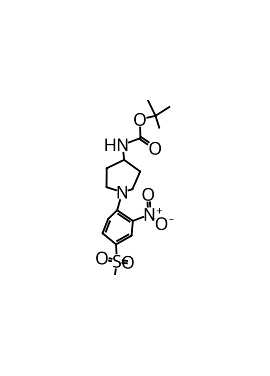 CC(C)(C)OC(=O)NC1CCN(c2ccc(S(C)(=O)=O)cc2[N+](=O)[O-])CC1